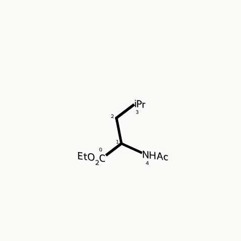 CCOC(=O)C(CC(C)C)NC(C)=O